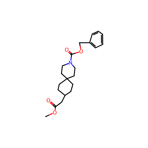 COC(=O)CC1CCC2(CC1)CCN(C(=O)OCc1ccccc1)CC2